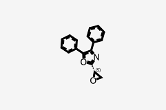 c1ccc(-c2nc([C@@H]3CO3)oc2-c2ccccc2)cc1